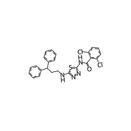 O=C(Nc1nnc(NCCC(c2ccccc2)c2ccccc2)s1)c1c(Cl)cccc1Cl